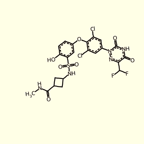 CNC(=O)C1CC(NS(=O)(=O)c2cc(Oc3c(Cl)cc(-n4nc(C(F)F)c(=O)[nH]c4=O)cc3Cl)ccc2O)C1